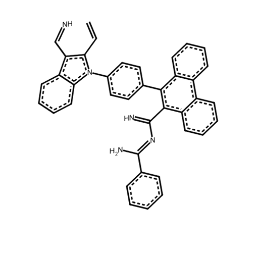 C=Cc1c(C=N)c2ccccc2n1-c1ccc(-c2c(C(=N)/N=C(\N)c3ccccc3)c3ccccc3c3ccccc23)cc1